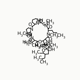 CCCCC1C(=O)N(OC)CC(=O)N2NCCCC2C(=O)N2CCC(C)(O)C2C(=O)N(OC)C(C(C)C)C(=O)OC(C(C)C)C(NC(=O)C(C)(O)C2(O)CCC(CC(C)C)C(CC)O2)C(=O)N1C